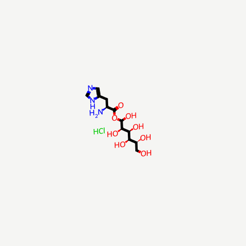 Cl.N[C@@H](Cc1cnc[nH]1)C(=O)OC(O)[C@H](O)[C@@H](O)[C@H](O)[C@H](O)CO